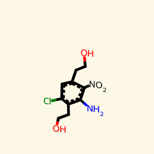 Nc1c(CCO)c(Cl)cc(CCO)c1[N+](=O)[O-]